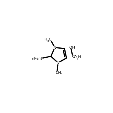 CCCCCC1N(C)C=CN1C.O=S(=O)(O)O